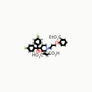 CCOC(=O)c1ccccc1OCCCN1CCC(C(O)(c2ccc(F)cc2)c2ccc(F)cc2)CC1.O=C(O)C=CC(=O)O